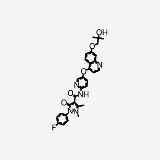 Cc1c(C(=O)Nc2ccc(Oc3ccnc4cc(OCC(C)(C)O)ccc34)cn2)c(=O)n(-c2ccc(F)cc2)n1C